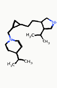 CC(C)C1CCN(CC2CC2CCC2CNCC2C(C)C)CC1